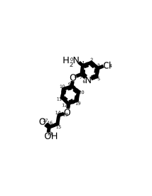 Nc1cc(Cl)cnc1Oc1ccc(OCCC(=O)O)cc1